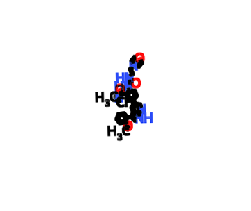 COc1ccccc1-c1c[nH]c2ncc(-c3ccc(NC(=O)NCCN4CCOCC4)c(C(=O)N(C)C)c3)cc12